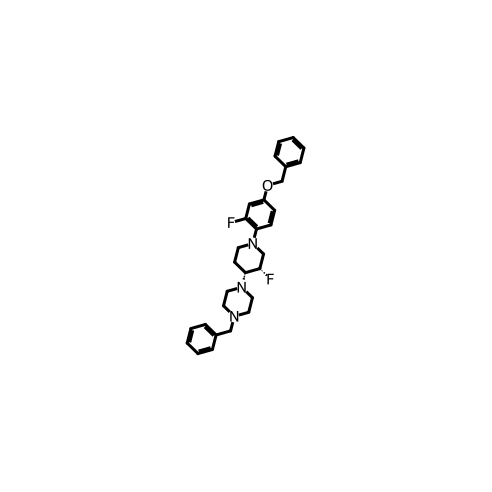 Fc1cc(OCc2ccccc2)ccc1N1CC[C@@H](N2CCN(Cc3ccccc3)CC2)[C@@H](F)C1